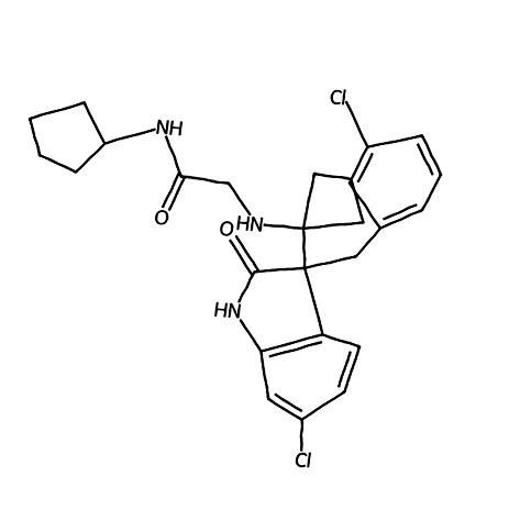 O=C(CNC1(C2(Cc3cccc(Cl)c3)C(=O)Nc3cc(Cl)ccc32)CCC1)NC1CCCC1